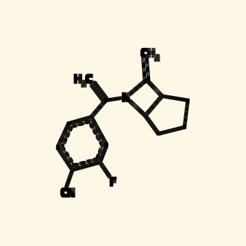 C=C(c1ccc(C#N)c(F)c1)N1C(=C)C2CCCC21